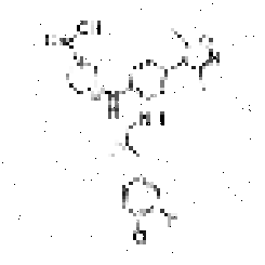 Cc1noc(C)c1-c1ccc(N[C@H]2CCN(C(=O)O)C2)c(NC[C@@H](C)Cc2ccc(Cl)c(F)c2)c1